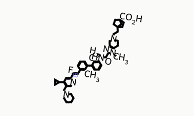 Cc1c(/C=C(\F)c2cc(C3CC3)c(CN3CCCCC3)cn2)cccc1-c1cccc(NC(=O)c2nc3c(n2C)CCN(CCC24CCC(C(=O)O)(CC2)C4)C3)c1C